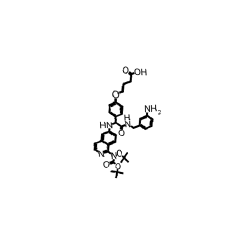 CC(C)(C)OC(=O)N(OC(C)(C)C)c1nccc2cc(NC(C(=O)NCc3cccc(N)c3)c3ccc(OCCCC(=O)O)cc3)ccc12